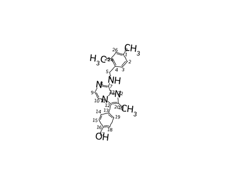 Cc1ccc(CNc2nccn3c(-c4ccc(O)cc4)c(C)nc23)c(C)c1